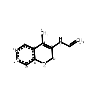 C=CNC1=C(C)c2cnncc2OC1